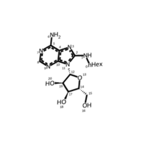 CCCCCCNc1nc2c(N)ncnc2n1[C@@H]1O[C@H](CO)[C@@H](O)[C@H]1O